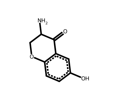 NC1COc2ccc(O)cc2C1=O